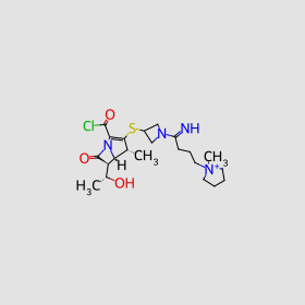 C[C@@H](O)[C@H]1C(=O)N2C(C(=O)Cl)=C(SC3CN(C(=N)CCC[N+]4(C)CCCC4)C3)[C@H](C)[C@H]12